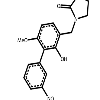 COc1ccc(CN2CCCC2=O)c(O)c1-c1cccc([N+](=O)[O-])c1